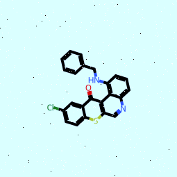 O=c1c2cc(Cl)ccc2sc2cnc3cccc(NCc4ccccc4)c3c12